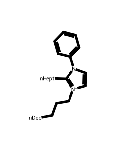 CCCCCCCCCCCCC[n+]1ccn(-c2ccccc2)c1CCCCCCC